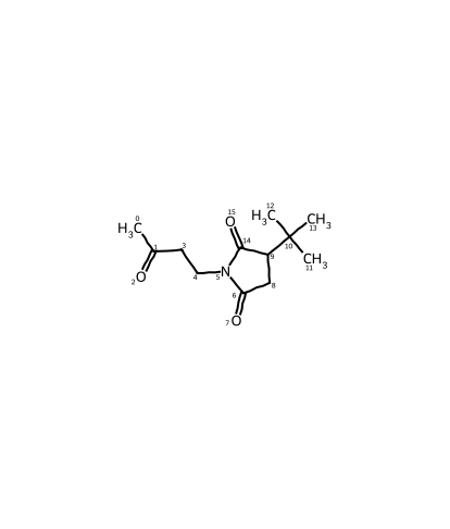 CC(=O)CCN1C(=O)CC(C(C)(C)C)C1=O